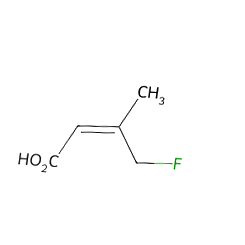 CC(=CC(=O)O)CF